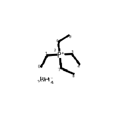 CC[P+](CC)(CC)CC.[BH4-]